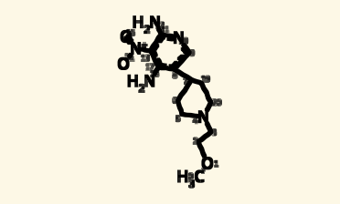 COCCN1CCC(c2cnc(N)c([N+](=O)[O-])c2N)CC1